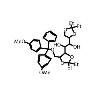 CCC1(CC)OCC(C(O)C(O)C2OC(CC)(CC)OC2COC(c2ccccc2)(c2ccc(OC)cc2)c2ccc(OC)cc2)O1